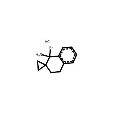 Cl.NC1(Br)c2ccccc2CCC12CC2